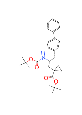 CC(C)(C)OC(=O)NC(Cc1ccc(-c2ccccc2)cc1)CC1(C(=O)OC(C)(C)C)CC1